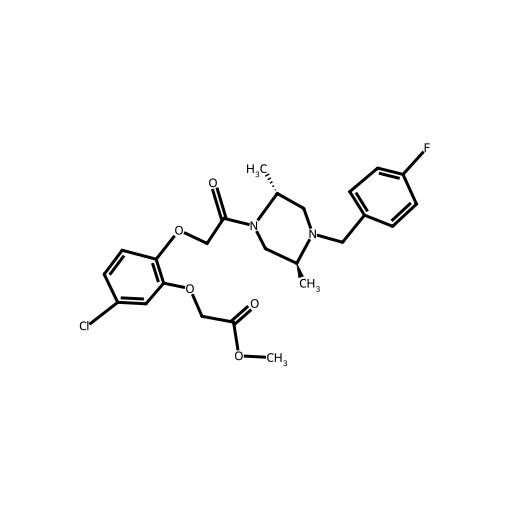 COC(=O)COc1cc(Cl)ccc1OCC(=O)N1C[C@H](C)N(Cc2ccc(F)cc2)C[C@H]1C